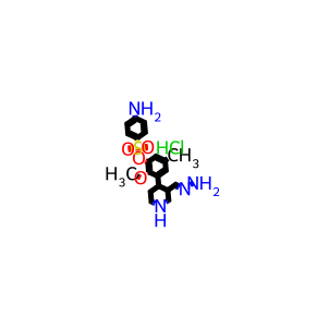 COc1c(OS(=O)(=O)c2ccc(N)cc2)cc(C)cc1C1CCNCC1C=NN.Cl